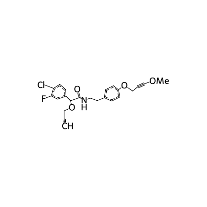 C#CCOC(C(=O)NCCc1ccc(OCC#COC)cc1)c1ccc(Cl)c(F)c1